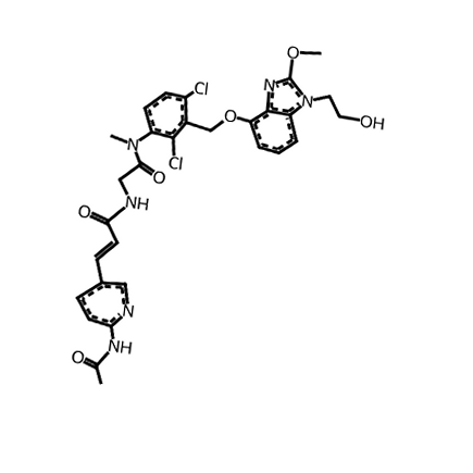 COc1nc2c(OCc3c(Cl)ccc(N(C)C(=O)CNC(=O)C=Cc4ccc(NC(C)=O)nc4)c3Cl)cccc2n1CCO